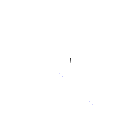 COC[C@H]1CC(=CN(C)C)C(=O)C(=O)N1Cc1ccc(F)c(F)c1